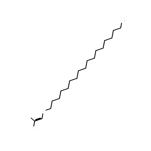 CCCCCCCCCCCCCCCCCCOC=C(C)C